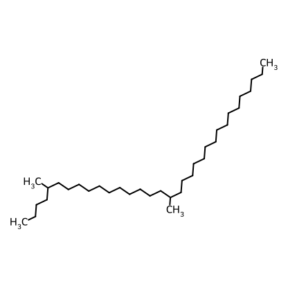 CCCCCCCCCCCCCCCCC(C)CCCCCCCCCCCC(C)CCCC